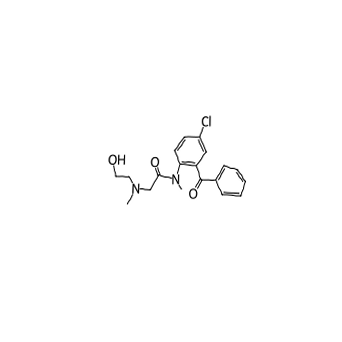 CN(CCO)CC(=O)N(C)c1ccc(Cl)cc1C(=O)c1ccccc1